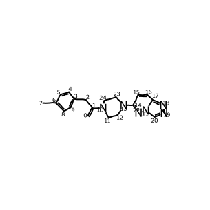 C=C(Cc1ccc(C)cc1)N1CCN(c2ccc3nncn3n2)CC1